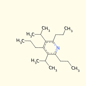 CCCc1nc(CCC)c(C(C)C)c(CCC)c1C(C)C